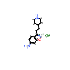 Cl.Cl.Nc1ccc2c(CCC3CCNCC3)noc2c1